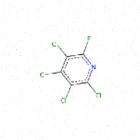 Fc1nc(Cl)c(Cl)c(Cl)c1Cl